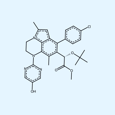 COC(=O)[C@@H](OC(C)(C)C)c1c(C)c2c3c(cc(C)n3CCN2c2ncc(O)cn2)c1-c1ccc(Cl)cc1